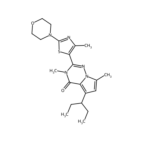 CCC(CC)c1cc(C)n2nc(-c3sc(N4CCOCC4)nc3C)n(C)c(=O)c12